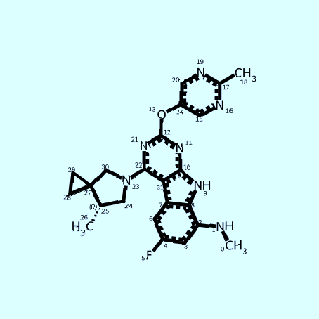 CNc1cc(F)cc2c1[nH]c1nc(Oc3cnc(C)nc3)nc(N3C[C@H](C)C4(CC4)C3)c12